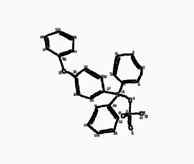 O=S(=O)(OS(c1ccccc1)(c1ccccc1)c1ccc(Oc2ccccc2)cc1)C(F)(F)F